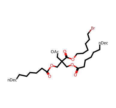 CCCCCCCCCCCCCCCC(=O)OCC(COC(C)=O)(COC(=O)CCCCCCCCCCCCCCC)C(=O)OCCCCCCBr